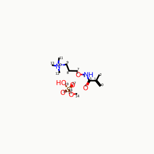 C=C(C)C(=O)NOCCC[N+](C)(C)C.COS(=O)(=O)O